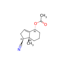 CC(=O)O[C@@H]1CCC[C@@]2(C)C1=CC[C@@H]2C#N